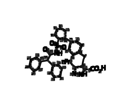 CCCc1n[nH]c(C(=O)O)c1Cc1ccc(-c2ccccc2S(=O)(=O)NC(=O)C(c2ccccc2)c2ccccc2)cc1